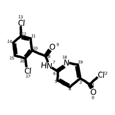 O=C(Cl)c1ccc(NC(=O)c2cc(Cl)ccc2Cl)nc1